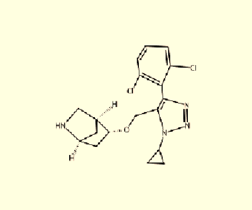 Clc1cccc(Cl)c1-c1nnn(C2CC2)c1CO[C@@H]1C[C@@H]2C[C@H]1CN2